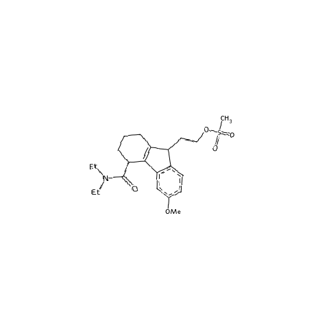 CCN(CC)C(=O)C1CCCC2=C1c1cc(OC)ccc1C2CCOS(C)(=O)=O